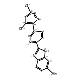 CC(C)(C)c1ccc2nc(-c3ccc(-c4ncc(Cl)cc4Cl)cn3)[nH]c2c1